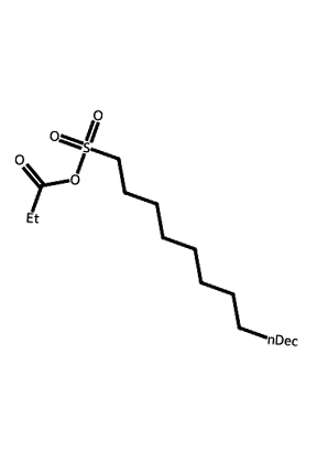 CCCCCCCCCCCCCCCCCCS(=O)(=O)OC(=O)CC